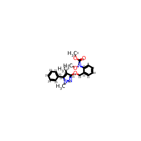 COC(=O)N(OC)c1ccccc1COc1nn(C)c(-c2ccccc2)c1C